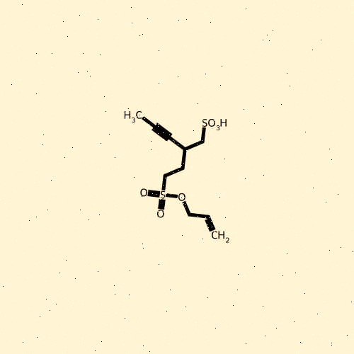 C=CCOS(=O)(=O)CCC(C#CC)CS(=O)(=O)O